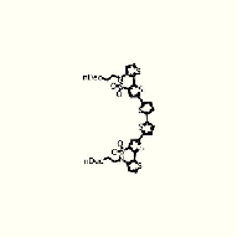 CCCCCCCCCCCCN1c2ccsc2-c2sc(-c3ccc(-c4ccc(-c5cc6c(s5)-c5sccc5N(CCCCCCCCCCCC)S6(=O)=O)s4)s3)cc2S1(=O)=O